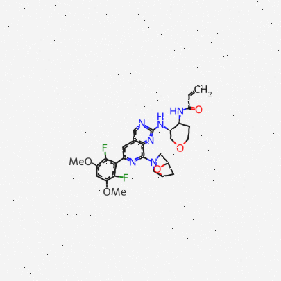 C=CC(=O)N[C@H]1CCOC[C@H]1Nc1ncc2cc(-c3c(F)c(OC)cc(OC)c3F)nc(N3CC4CC(C3)O4)c2n1